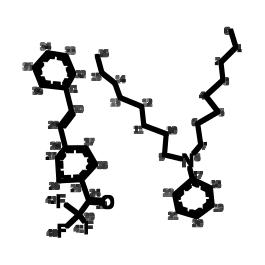 CCCCCCCCN(CCCCCCCC)c1ccccc1.O=C(c1ccc(C=Cc2ccccc2)cc1)C(F)(F)F